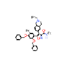 CCNC(=O)c1noc(-c2cc(C(C)C)c(OCc3ccccc3)cc2OCc2ccccc2)c1-c1ccc2c(c1)CCN(CC(C)C)C2